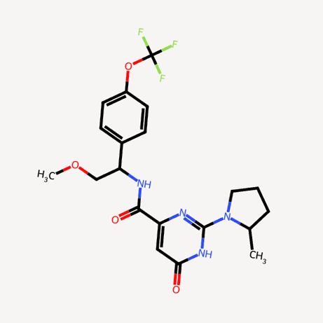 COCC(NC(=O)c1cc(=O)[nH]c(N2CCCC2C)n1)c1ccc(OC(F)(F)F)cc1